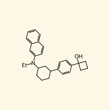 CCN(c1ccc2ccccc2c1)C1CCCC(c2ccc(C3(O)CCC3)cc2)C1